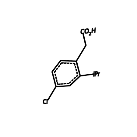 CC(C)c1cc(Cl)ccc1CC(=O)O